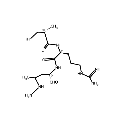 CC(C)C[C@H](C)C(=O)N[C@@H](CCCNC(=N)N)C(=O)N[C@H](C=O)CC(C)NN